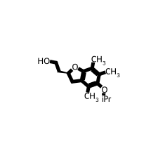 Cc1c(C)c2c(c(C)c1OC(C)C)C[C@@H](CCO)O2